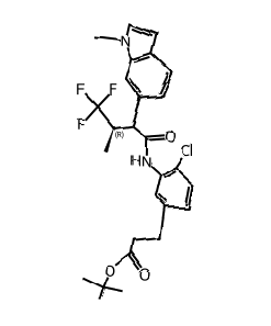 C[C@H](C(C(=O)Nc1cc(CCC(=O)OC(C)(C)C)ccc1Cl)c1ccc2ccn(C)c2c1)C(F)(F)F